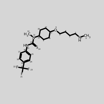 CNCCCCOC1CCC(N(C)C(=S)Nc2ccc(C(F)(F)F)cc2)CC1